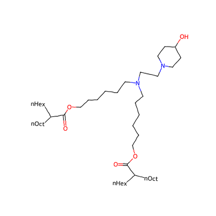 CCCCCCCCC(CCCCCC)C(=O)OCCCCCCN(CCCCCCOC(=O)C(CCCCCC)CCCCCCCC)CCN1CCC(O)CC1